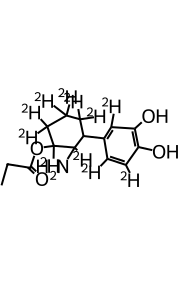 [2H]c1c([2H])c(C2C([2H])([2H])C([2H])([2H])C([2H])([2H])C([2H])(OC(=O)CC)C2([2H])N)c([2H])c(O)c1O